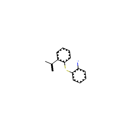 C=C(C)c1ccccc1Sc1ccccc1N